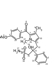 COc1ccc(C(=O)c2c(C)cc(CC(O)(CS(N)(=O)=O)c3ccccc3)n2C)cc1